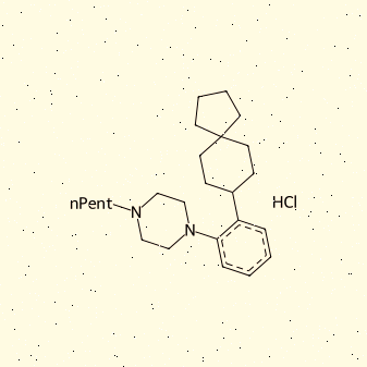 CCCCCN1CCN(c2ccccc2C2CCC3(CCCC3)CC2)CC1.Cl